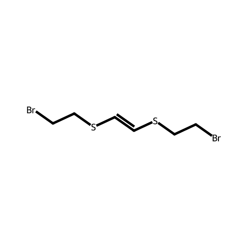 BrCCSC=CSCCBr